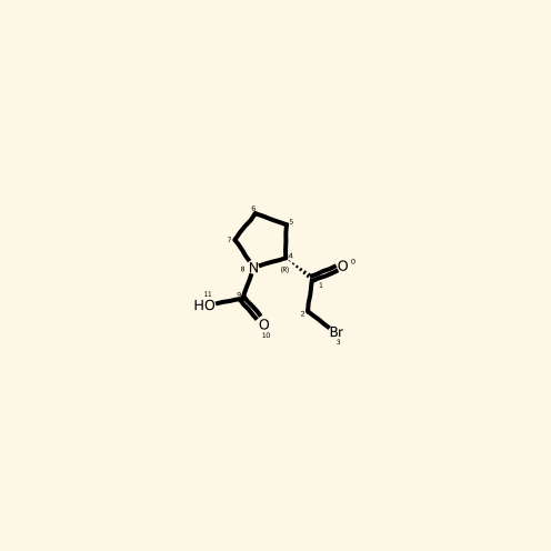 O=C(CBr)[C@H]1CCCN1C(=O)O